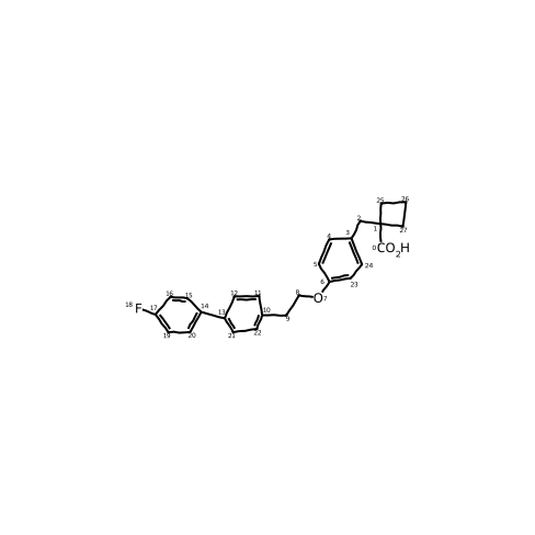 O=C(O)C1(Cc2ccc(OCCc3ccc(-c4ccc(F)cc4)cc3)cc2)CCC1